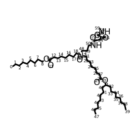 CCCCCCCCCOC(=O)CCCCCCC[N+]([O-])(CCCCCCCC(=O)OC(CCCCCCCC)CCCCCCCC)CCCNC(=O)CS(=O)(=O)NC